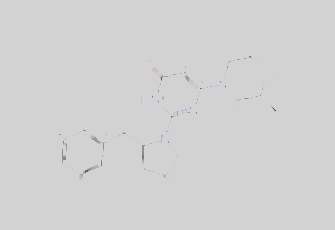 C[C@H]1CN(c2cc(=O)[nH]c(N3CCCC3Cc3ccccc3)n2)CCO1